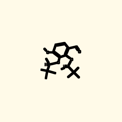 COc1ccc(C=O)c(O[SiH](C)C(C)(C)C)c1O[SiH](C)C(C)(C)C